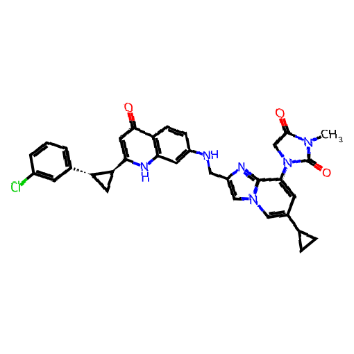 CN1C(=O)CN(c2cc(C3CC3)cn3cc(CNc4ccc5c(=O)cc([C@H]6C[C@@H]6c6cccc(Cl)c6)[nH]c5c4)nc23)C1=O